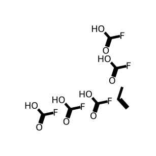 C=CC.O=C(O)F.O=C(O)F.O=C(O)F.O=C(O)F.O=C(O)F